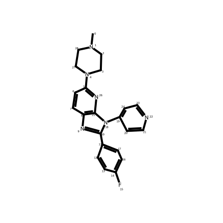 CN1CCN(c2ccc3nc(-c4ccc(F)cc4)n(-c4ccncc4)c3n2)CC1